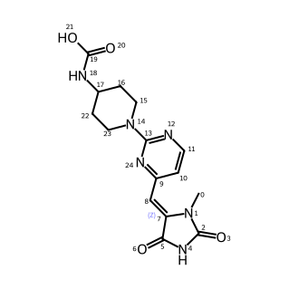 CN1C(=O)NC(=O)/C1=C/c1ccnc(N2CCC(NC(=O)O)CC2)n1